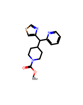 CC(C)(C)OC(=O)N1CCC(C(c2ccccn2)c2cscn2)CC1